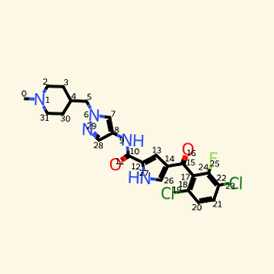 CN1CCC(Cn2cc(NC(=O)c3cc(C(=O)c4c(Cl)ccc(Cl)c4F)c[nH]3)cn2)CC1